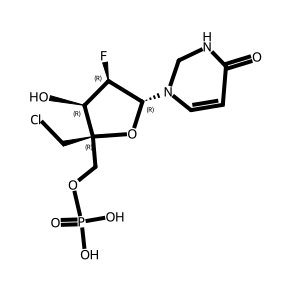 O=C1C=CN([C@@H]2O[C@](CCl)(COP(=O)(O)O)[C@@H](O)[C@H]2F)CN1